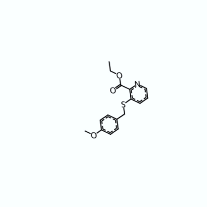 CCOC(=O)c1ncccc1SCc1ccc(OC)cc1